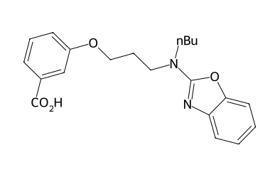 CCCCN(CCCOc1cccc(C(=O)O)c1)c1nc2ccccc2o1